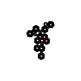 c1ccc(-c2ccccc2N(c2ccccc2-c2cccc(N(c3ccc4c(c3)oc3ccccc34)c3cccc4c3sc3ccccc34)c2)c2ccc(-c3ccccc3)c3ccccc23)cc1